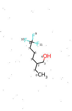 CCC(CO)CCCC(F)(F)F